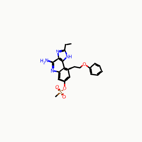 CCc1nc2c(N)nc3cc(OS(C)(=O)=O)cc(CCOc4ccccc4)c3c2[nH]1